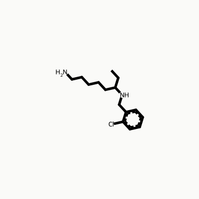 CCC(CCCCCN)NCc1ccccc1Cl